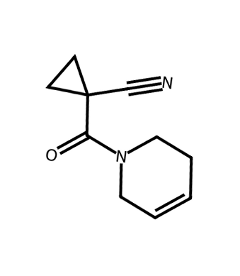 N#CC1(C(=O)N2CC=CCC2)CC1